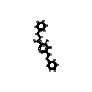 C[C@H](NC(=O)OCc1ccncc1)C(=O)N(C)CCc1ccccc1